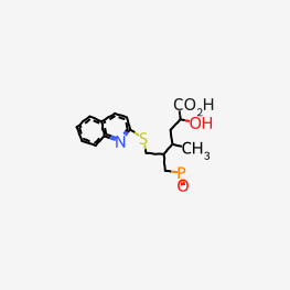 CC(CC(O)C(=O)O)C(CP=O)CSc1ccc2ccccc2n1